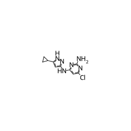 Nc1nc(Cl)cc(Nc2cc(C3CC3)[nH]n2)n1